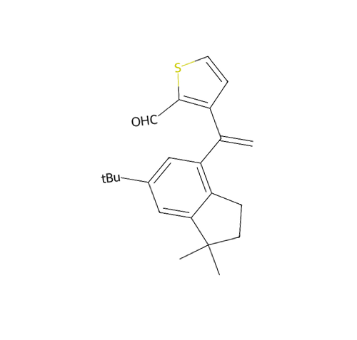 C=C(c1ccsc1C=O)c1cc(C(C)(C)C)cc2c1CCC2(C)C